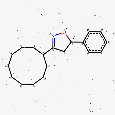 c1ccc(C2CC(C3CCCCCCCCC3)=NO2)cc1